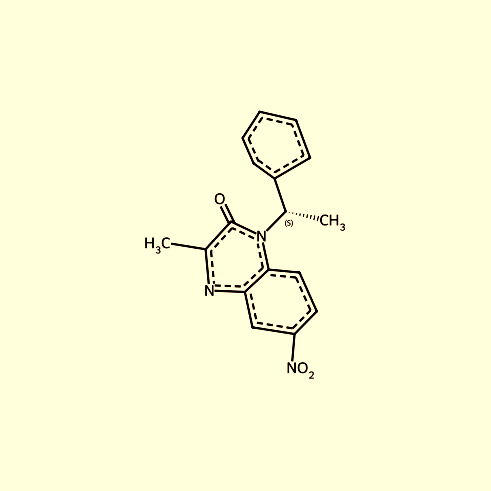 Cc1nc2cc([N+](=O)[O-])ccc2n([C@@H](C)c2ccccc2)c1=O